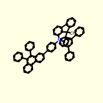 CC1(c2ccccc2)c2ccccc2-c2cccc(N(c3ccc(-c4ccc5c(c4)c(-c4ccccc4)c(-c4ccccc4)c4ccccc45)cc3)c3cc(-c4ccccc4)cc(-c4ccccc4)c3)c21